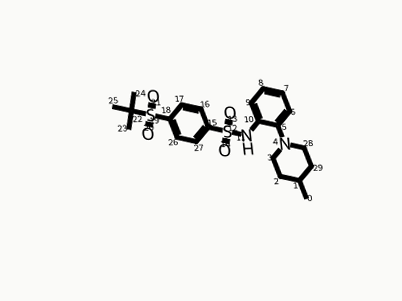 CC1CCN(c2ccccc2NS(=O)(=O)c2ccc(S(=O)(=O)C(C)(C)C)cc2)CC1